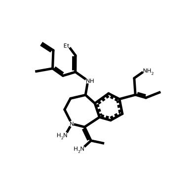 C=C/C(C)=C\C(=C/CC)NC1CCN(N)/C(=C(/C)N)c2ccc(/C(=C/C)CN)cc21